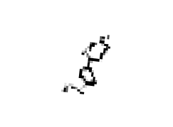 CCc1ccc(-c2ccc(OC(C)C)cc2)nc1